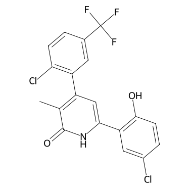 Cc1c(-c2cc(C(F)(F)F)ccc2Cl)cc(-c2cc(Cl)ccc2O)[nH]c1=O